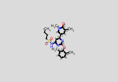 CCCCS(=O)(=O)Nc1cc(-c2cc(C)c(=O)n(C)c2)nc(Oc2c(C)cccc2C)n1